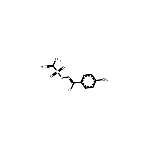 C=C(C)S(=O)(=O)O/N=C(\Cl)c1ccc(C)cc1